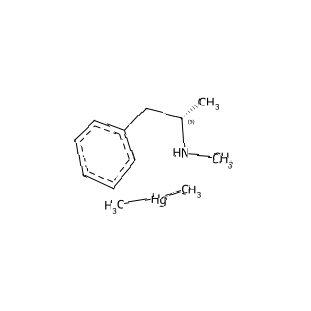 CN[C@@H](C)Cc1ccccc1.[CH3][Hg][CH3]